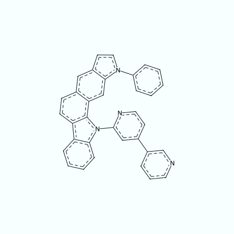 c1ccc(-n2ccc3cc4ccc5c6ccccc6n(-c6cc(-c7cccnc7)ccn6)c5c4cc32)cc1